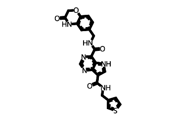 O=C1COc2ccc(CNC(=O)c3ncnc4c(C(=O)NCc5ccsc5)c[nH]c34)cc2N1